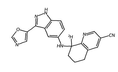 [2H]C1(Nc2ccc3[nH]nc(-c4cnco4)c3c2)CCCc2cc(C#N)cnc21